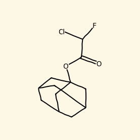 O=C(OC12CC3CC(CC(C3)C1)C2)C(F)Cl